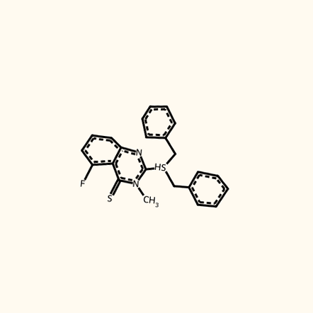 Cn1c([SH](Cc2ccccc2)Cc2ccccc2)nc2cccc(F)c2c1=S